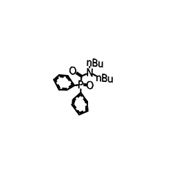 CCCCN(CCCC)C(=O)P(=O)(c1ccccc1)c1ccccc1